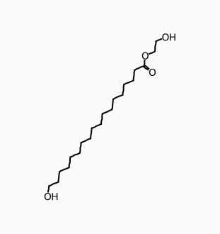 O=C(CCCCCCCCCCCCCCCCCO)OCCO